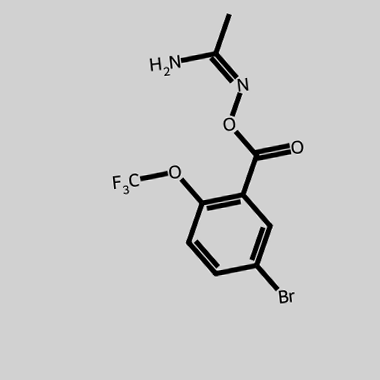 C/C(N)=N/OC(=O)c1cc(Br)ccc1OC(F)(F)F